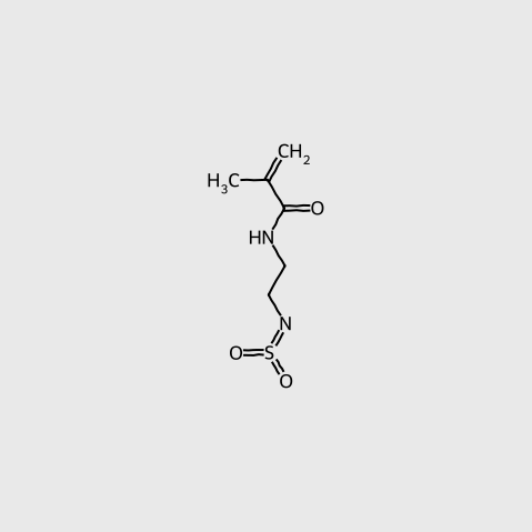 C=C(C)C(=O)NCCN=S(=O)=O